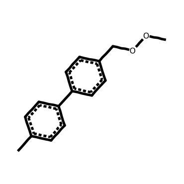 COOCc1ccc(-c2ccc(C)cc2)cc1